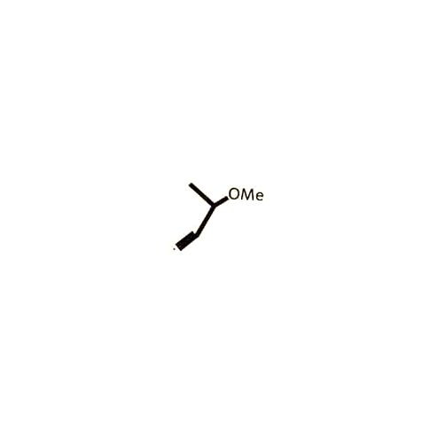 [CH]=CC(C)OC